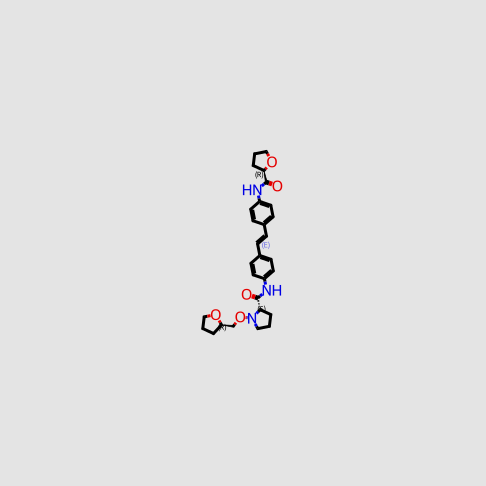 O=C(Nc1ccc(/C=C/c2ccc(NC(=O)[C@@H]3CCCN3OC[C@H]3CCCO3)cc2)cc1)[C@H]1CCCO1